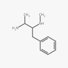 CNC(Cc1ccccc1)C(C)N